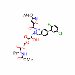 COC(=O)N[C@H](C(=O)OCOC(=O)[C@H](O)CN(Cc1ccc(-c2cc(Cl)ccc2F)cc1)NC(=O)c1cc(OC)no1)C(C)C